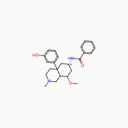 COC1C[C@@H](NC(=O)c2ccccc2)CC2(c3cccc(O)c3)CCN(C)CC12